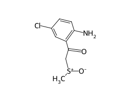 C[S+]([O-])CC(=O)c1cc(Cl)ccc1N